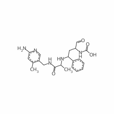 Cc1cc(N)ncc1CNC(=O)C(C)NC(CC(C=O)NC(=O)O)c1ccccc1